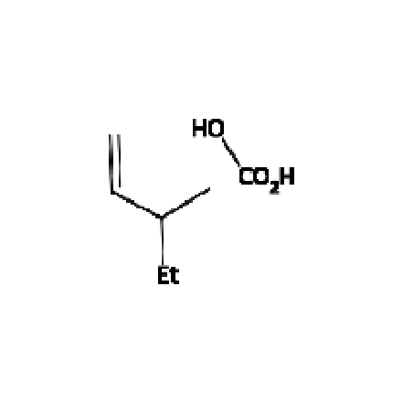 C=CC(C)CC.O=C(O)O